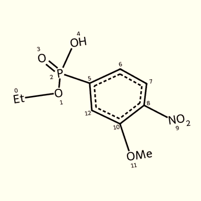 CCOP(=O)(O)c1ccc([N+](=O)[O-])c(OC)c1